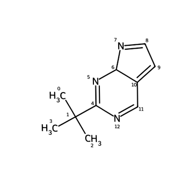 CC(C)(C)C1=NC2N=CC=C2C=N1